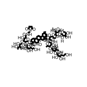 CCC(OC(C)=O)C(OC1OCC(O)C(O)C1O)C(O)C(O)OC1C(C)OCC(OC(=O)[C@]23CCC(C)(C)CC2C2=CCC4[C@@]5(C)CC[C@H](OC6OC(C(=O)NCCN7C(=O)C=CC7=O)C(O)C(OC(O)C(O)C(O)C(C)O)C6OC(O)/C(O)=C(/O)C(O)CCO)[C@@](C)(C=O)C5CC[C@@]4(C)[C@]2(C)C[C@H]3O)(OC2OC(C)C(OC(O)/C(O)=C(/OC(O)/C(O)=C(/O)C(O)CCO)C(C)O)C(O)C2O)C1O